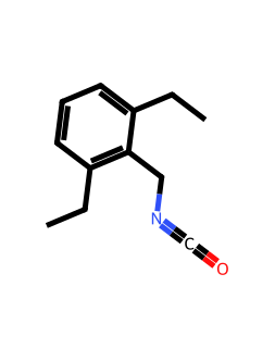 CCc1cccc(CC)c1CN=C=O